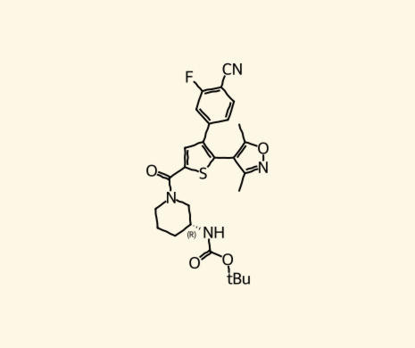 Cc1noc(C)c1-c1sc(C(=O)N2CCC[C@@H](NC(=O)OC(C)(C)C)C2)cc1-c1ccc(C#N)c(F)c1